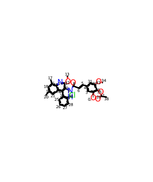 COc1cc(/C=C/C(=O)Nc2c(OC)nc3c(C)cc(C)cc3c2-c2ccccc2Cl)cc(OC)c1OC(C)=O